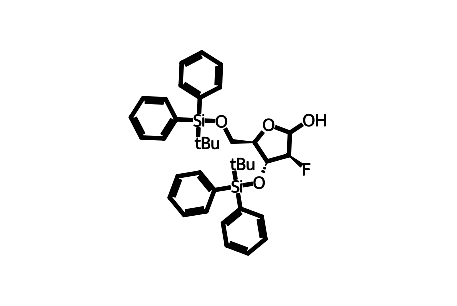 CC(C)(C)[Si](OC[C@H]1OC(O)[C@@H](F)[C@@H]1O[Si](c1ccccc1)(c1ccccc1)C(C)(C)C)(c1ccccc1)c1ccccc1